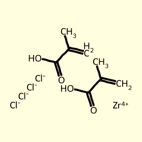 C=C(C)C(=O)O.C=C(C)C(=O)O.[Cl-].[Cl-].[Cl-].[Cl-].[Zr+4]